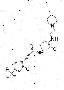 CC1CCN(CCNc2ccc(NC(=O)C#Cc3ccc(C(F)(F)F)cc3Cl)cc2Cl)CC1